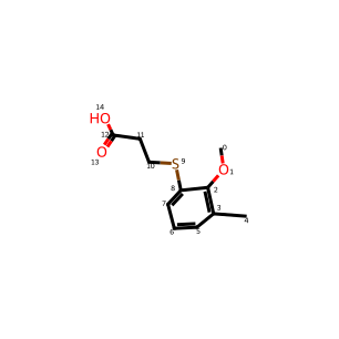 COc1c(C)cccc1SCCC(=O)O